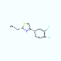 CC(C)(C)Cc1nc(-c2ccc(F)c(F)c2)cs1